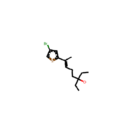 CCC([O])(CC)CC/C=C(\C)c1cc(Br)cs1